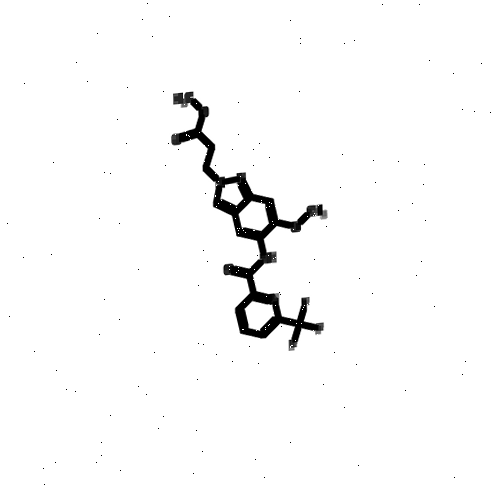 COC(=O)CCn1cc2cc(NC(=O)c3cccc(C(F)(F)F)n3)c(OC)cc2n1